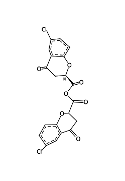 O=C1CC(C(=O)OC(=O)[C@H]2CC(=O)c3cc(Cl)ccc3O2)Oc2ccc(Cl)cc21